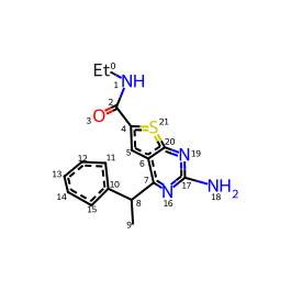 CCNC(=O)c1cc2c(C(C)c3ccccc3)nc(N)nc2s1